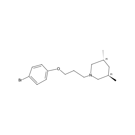 C[C@@H]1C[C@@H](C)CN(CCCOc2ccc(Br)cc2)C1